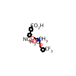 C[N+](C)(CCOCc1cccc(C(F)(F)F)c1)C[C@@H](O)COc1cc(-c2ccc(C(=O)O)cc2)ccc1C#N